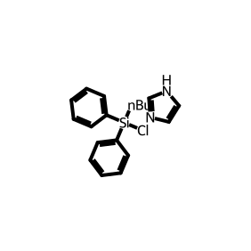 CCCC[Si](Cl)(c1ccccc1)c1ccccc1.c1c[nH]cn1